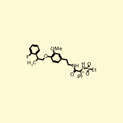 CCS(=O)(=O)N[C@H](C(=O)NCCc1ccc(OCC(C)c2ccccc2F)c(OC)c1)C(C)C